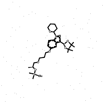 C[C@@H](COCCCOc1ccc2c(c1)c(B1OC(C)(C)C(C)(C)O1)nn2C1CCCCO1)O[Si](C)(C)C(C)(C)C